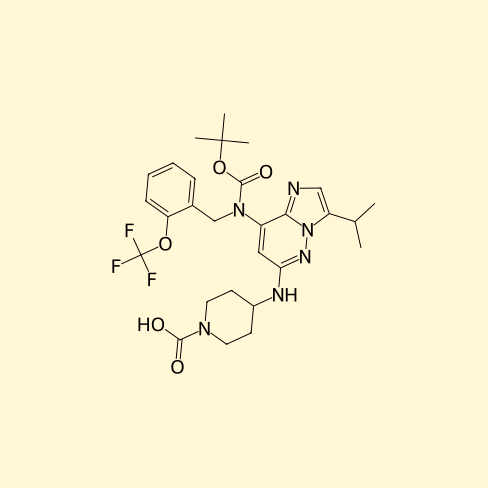 CC(C)c1cnc2c(N(Cc3ccccc3OC(F)(F)F)C(=O)OC(C)(C)C)cc(NC3CCN(C(=O)O)CC3)nn12